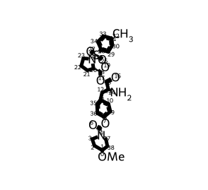 COC1CCN(C(=O)Oc2ccc(C[C@H](N)C(=O)OC(=O)[C@H]3CCCN3S(=O)(=O)c3ccc(C)cc3)cc2)CC1